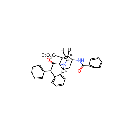 CCOC(=O)[C@@H]1[C@@H]2CC[C@@H](CC2NC(=O)c2ccccc2)N1C(=O)C(c1ccccc1)c1ccccc1